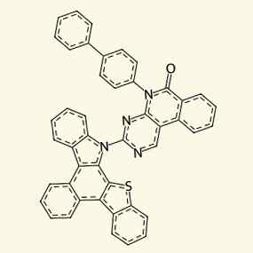 O=c1c2ccccc2c2cnc(-n3c4ccccc4c4c5ccccc5c5c6ccccc6sc5c43)nc2n1-c1ccc(-c2ccccc2)cc1